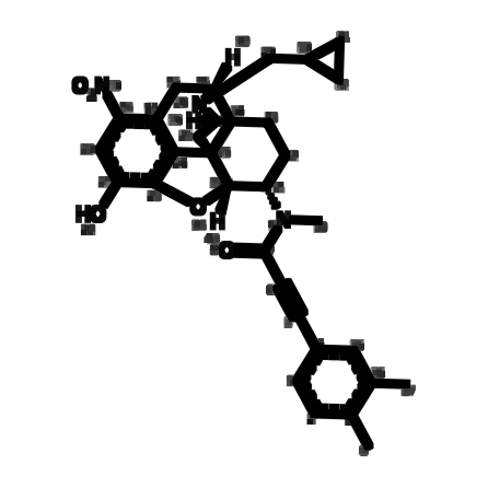 Cc1ccc(C#CC(=O)N(C)[C@H]2CC[C@H]3[C@H]4Cc5c([N+](=O)[O-])cc(O)c6c5[C@@]3(CCN4CC3CC3)[C@H]2O6)cc1C